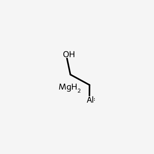 OC[CH2][Al].[MgH2]